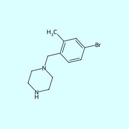 Cc1cc(Br)ccc1CN1CCNCC1